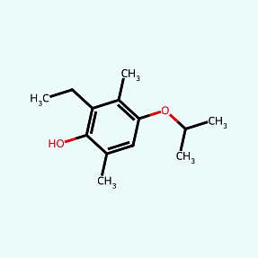 CCc1c(C)c(OC(C)C)cc(C)c1O